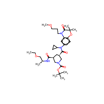 CCOC[C@H](C)NC(=O)[C@H]1C[C@@H](C(=O)N(c2ccc3c(c2)N(CCCOC)C(=O)C(C)(C)O3)C2CC2)CN(C(=O)OC(C)(C)C)C1